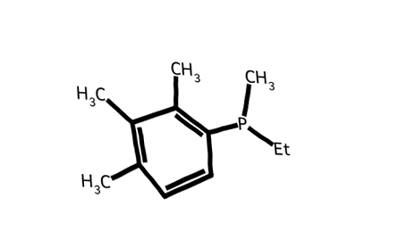 CCP(C)c1ccc(C)c(C)c1C